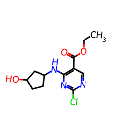 CCOC(=O)c1cnc(Cl)nc1NC1CCC(O)C1